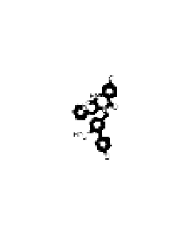 O=C(O)c1ccc(CN2C(=O)c3ccc(Cl)cc3NC(=O)C2Cc2ccccn2)cc1-c1ccc(Cl)cc1